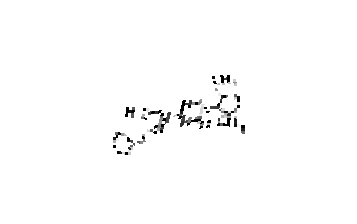 CCc1cccc(C)c1-n1cnc(N(CC)OCCc2ccccc2)nc1=O